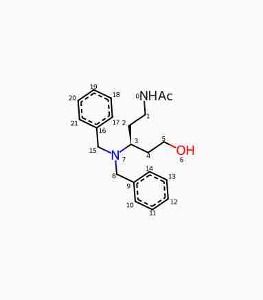 CC(=O)NCC[C@@H](CCO)N(Cc1ccccc1)Cc1ccccc1